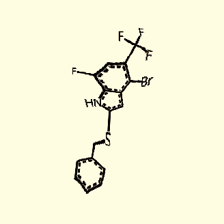 Fc1cc(C(F)(F)F)c(Br)c2cc(SCc3ccccc3)[nH]c12